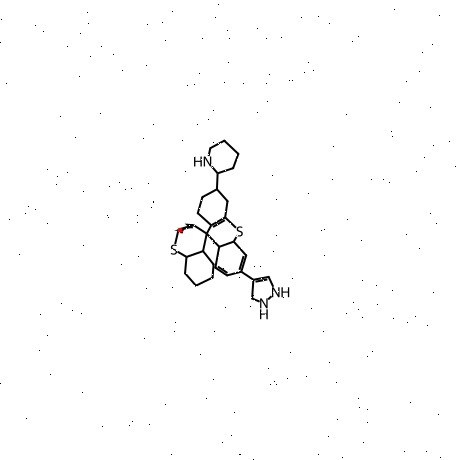 C1=CC2C(C=C1C1=CNNC1)SC1=C(CCC(C3CCCCN3)C1)C21C2=CCCC=C2SC2CCCCC21